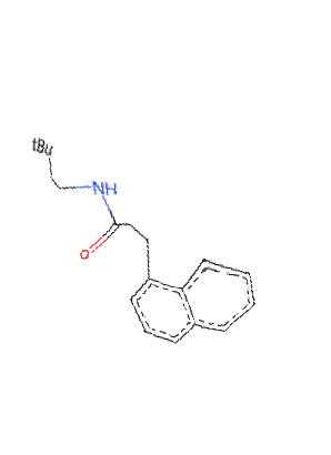 CC(C)(C)CNC(=O)Cc1cccc2ccccc12